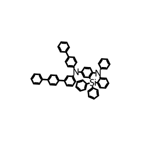 c1ccc(-c2ccc(-c3cccc(N(c4ccc(-c5ccccc5)cc4)c4ccc5c(c4)[Si](c4ccccc4)(c4ccccc4)c4ccccc4N5c4ccccc4)c3)cc2)cc1